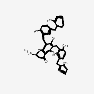 O=C1C[C@@H](P)Oc2c(Cc3cc(Cc4ccccc4O)ccc3O)c(O)c(Cc3cc(Cc4ccccc4O)ccc3O)c(O)c21